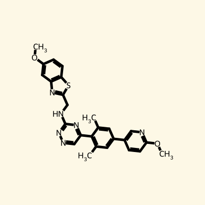 COc1ccc2sc(CNc3nncc(-c4c(C)cc(-c5ccc(OC)nc5)cc4C)n3)nc2c1